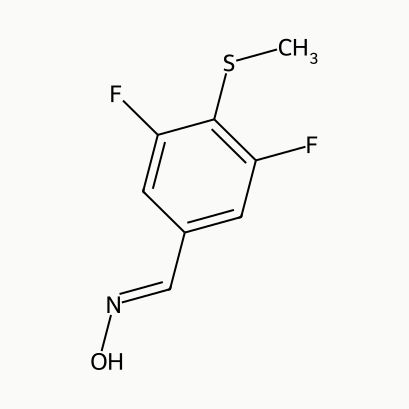 CSc1c(F)cc(C=NO)cc1F